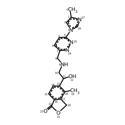 Cc1cn(-c2ccc(CNCC(O)c3ccc4c(c3C)COC4=O)nn2)cn1